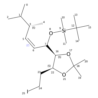 CC(C)[C@H](C)/C=C\C(O[Si](C)(C)C(C)(C)C)[C@H]1OC(C)(C)O[C@H]1CCI